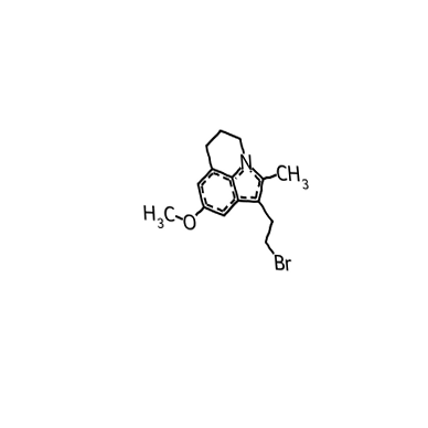 COc1cc2c3c(c1)c(CCBr)c(C)n3CCC2